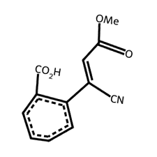 COC(=O)C=C(C#N)c1ccccc1C(=O)O